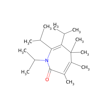 CC1=C(C)C(C)(C)C(C(C)C)=C(C(C)C)N(C(C)C)C1=O